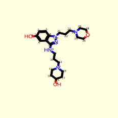 Oc1ccc2c(c1)c(NCCCN1CCC(O)CC1)nn2CCCN1CCOCC1